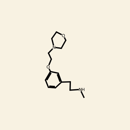 CNCCc1cccc(OCCN2CCOCC2)c1